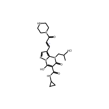 CC(C)Cn1c(=O)c(C(=O)NC2CC2)c(O)n2ncc(/C=C/C(=O)N3CCNCC3)c12.Cl